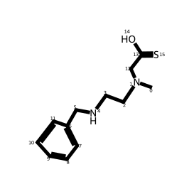 CN(CCNCc1ccccc1)CC(O)=S